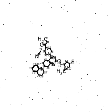 C=CC(=O)N1CCN(c2nc(OC[C@@H]3C[C@@H](F)CN3C)nc3c2CC[C@H](N2CCCc4ccccc42)C3)C[C@@H]1CC#N